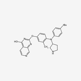 Cc1cc(Oc2nc(O)c3ccncc3n2)ccc1N(c1ccc(C(C)(C)C)cc1)C1CCNC1